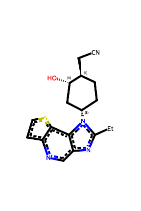 CCc1nc2cnc3ccsc3c2n1[C@H]1CC[C@H](CC#N)[C@@H](O)C1